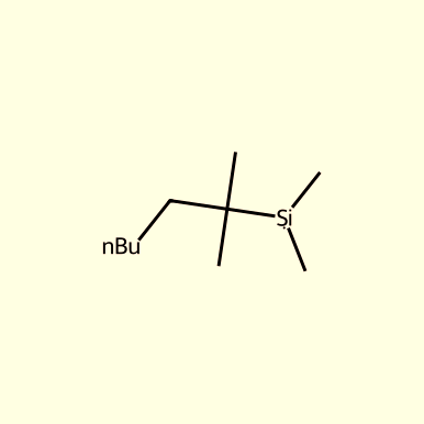 CCCCCC(C)(C)[Si](C)C